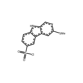 CSc1cc2c(cn1)[nH]c1ccc(S(=O)(=O)Cl)cc12